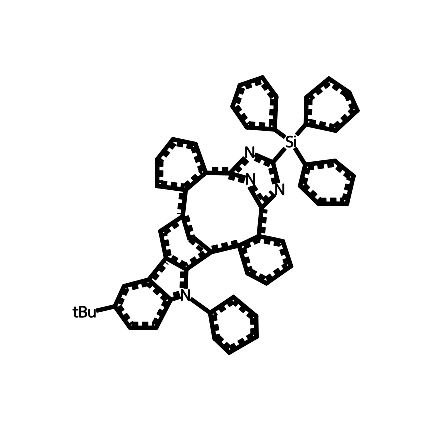 CC(C)(C)c1ccc2c(c1)c1cc3cc(c4ccccc4c4nc([Si](c5ccccc5)(c5ccccc5)c5ccccc5)nc(n4)c4ccccc34)c1n2-c1ccccc1